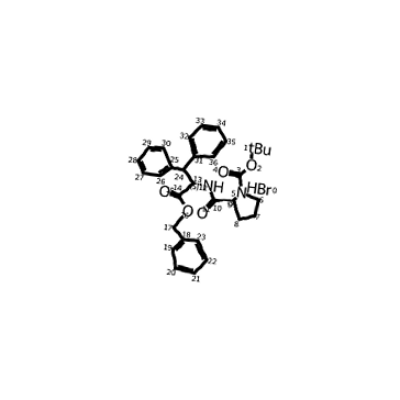 Br.CC(C)(C)OC(=O)N1CCC[C@H]1C(=O)N[C@H](C(=O)OCc1ccccc1)C(c1ccccc1)c1ccccc1